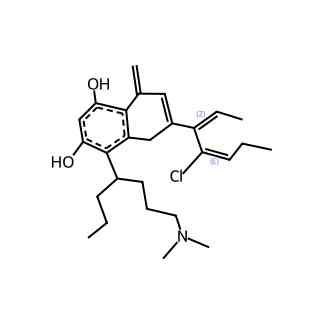 C=C1C=C(C(=C/C)/C(Cl)=C\CC)Cc2c1c(O)cc(O)c2C(CCC)CCCN(C)C